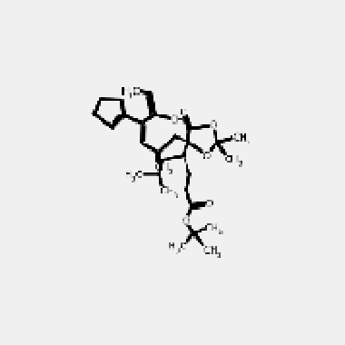 C=C(/C=C(C1=CCCC1)\C(C)=C/C)C[C@]1([C@@H](CCC(=O)OC(C)(C)C)CC(C)C)OC(C)(C)OC1=O